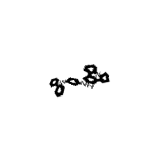 c1ccc(-c2ccccc2Nc2ccc(Nc3cc4c5ccccc5n5c6ccccc6c(c3)c45)cc2)cc1